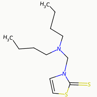 CCCCN(CCCC)Cn1ccsc1=S